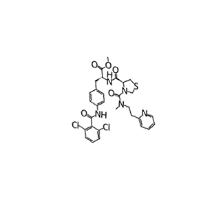 COC(=O)[C@H](Cc1ccc(NC(=O)c2c(Cl)cccc2Cl)cc1)NC(=O)[C@H]1CSCN1C(=O)N(C)CCc1ccccn1